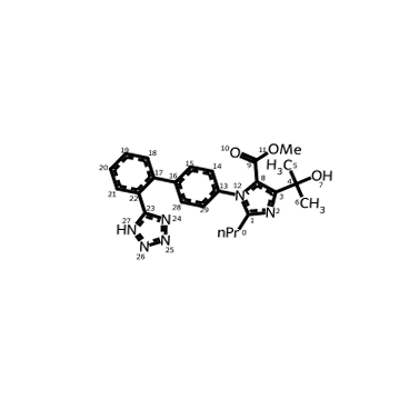 CCCc1nc(C(C)(C)O)c(C(=O)OC)n1-c1ccc(-c2ccccc2-c2nnn[nH]2)cc1